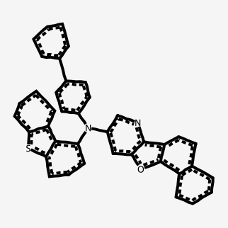 c1ccc(-c2ccc(N(c3cnc4c(c3)oc3c5ccccc5ccc43)c3cccc4sc5ccccc5c34)cc2)cc1